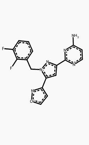 Nc1ccnc(-c2cc(-c3ccon3)n(Cc3cccc(F)c3F)n2)n1